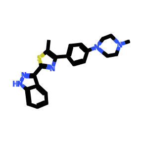 Cc1sc(-c2n[nH]c3ccccc23)nc1-c1ccc(N2CCN(C)CC2)cc1